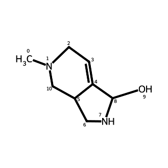 CN1CC=C2C(CNC2O)C1